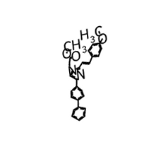 COC(=O)Cn1cc(-c2ccc(-c3ccccc3)cc2)nc1/C=C/c1ccc(OC)cc1